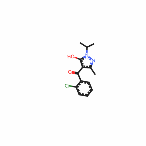 Cc1nn(C(C)C)c(O)c1C(=O)c1ccccc1Cl